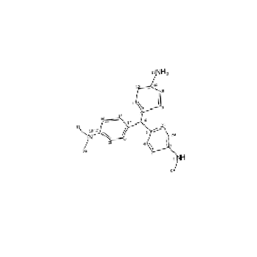 CNc1ccc(C(c2ccc(N)cc2)c2ccc(N(C)C)cc2)cc1